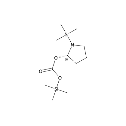 C[Si](C)(C)OC(=O)O[C@H]1CCCN1[Si](C)(C)C